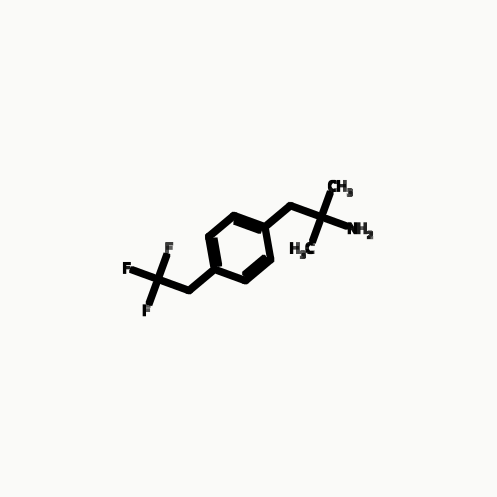 CC(C)(N)Cc1ccc(CC(F)(F)F)cc1